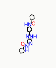 O=C(Nc1ccc(-c2nc3cc(NC(=O)C4CCCCC4)ncc3[nH]2)cc1)C1CCCCC1